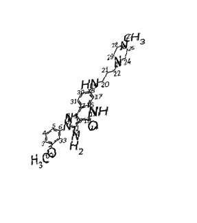 COc1cccc(-n2nc3c(c2N)c(=O)[nH]c2cc(NCCCN4CCN(C)CC4)ccc23)c1